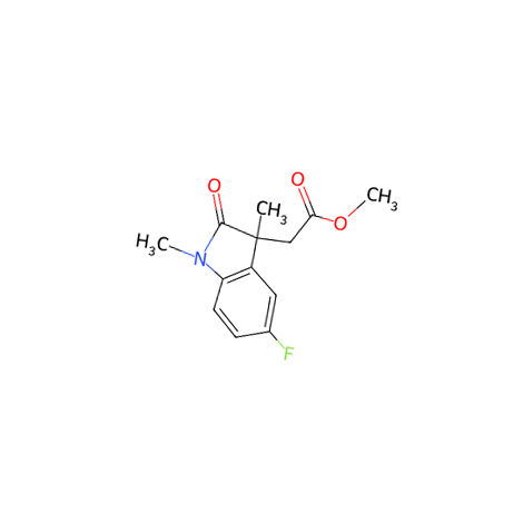 COC(=O)CC1(C)C(=O)N(C)c2ccc(F)cc21